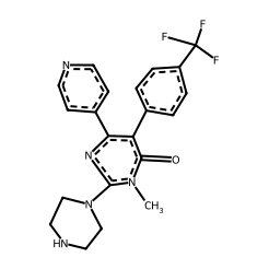 Cn1c(N2CCNCC2)nc(-c2ccncc2)c(-c2ccc(C(F)(F)F)cc2)c1=O